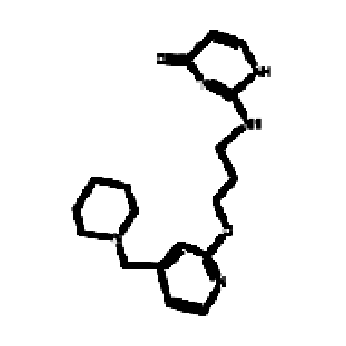 O=c1cc[nH]c(NCCCOc2cc(CN3CCCCC3)ccn2)n1